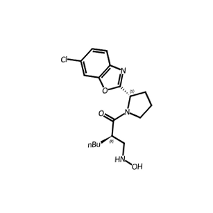 CCCC[C@H](CNO)C(=O)N1CCC[C@H]1c1nc2ccc(Cl)cc2o1